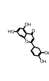 O=c1cc(C2C=CC(O)=C(O)C2)oc2cc(O)cc(O)c12